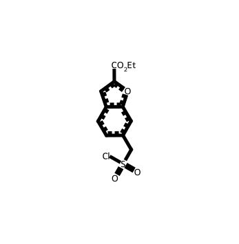 CCOC(=O)c1cc2ccc(CS(=O)(=O)Cl)cc2o1